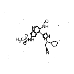 CS(=O)(=O)Nc1cc2c(-c3cnn(C(CC#N)C4CCCC4)c3)c(NC=O)cnn2c1